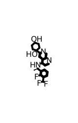 C[C@@H](Nc1ccnc2cnc(C3(O)CCC(O)CC3)cc12)c1cccc(C(F)F)c1F